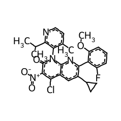 COc1cccc(F)c1-c1nc2c(cc1C1CC1)c(Cl)c([N+](=O)[O-])c(=O)n2-c1c(C)ccnc1C(C)C